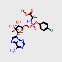 CC(C)OC(=O)[C@H](C)NP(=O)(OC[C@H]1O[C@@H](c2cnc3c(N)ncnn23)[C@](C)(O)[C@@H]1O)Oc1ccc(Cl)cc1